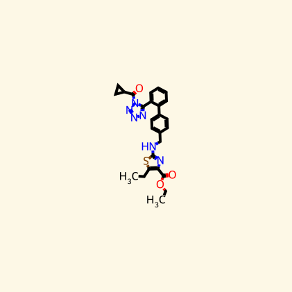 CCOC(=O)c1nc(NCc2ccc(-c3ccccc3-c3nnnn3C(=O)C3CC3)cc2)sc1CC